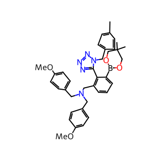 COc1ccc(CN(Cc2ccc(OC)cc2)Cc2cccc(B3OCC(C)(C)CO3)c2-c2nnnn2Cc2ccc(C)cc2)cc1